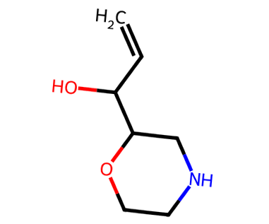 C=CC(O)C1CNCCO1